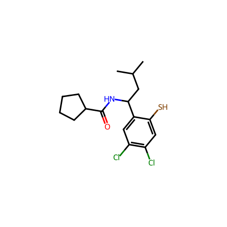 CC(C)CC(NC(=O)C1CCCC1)c1cc(Cl)c(Cl)cc1S